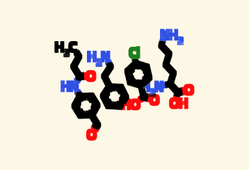 CCCC(=O)Nc1ccc(C=O)cc1.NCCCCC(N)C(=O)O.NCCc1ccccc1.O=C(O)c1ccc(Cl)cc1